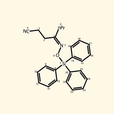 CCCC(CCC#N)=NO[Si](c1ccccc1)(c1ccccc1)c1ccccc1